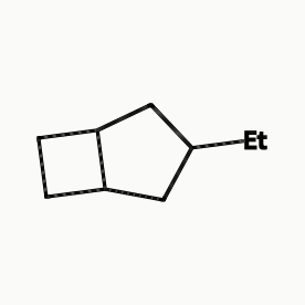 CCC1CC2CCC2C1